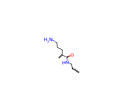 C=CCNC(=O)C(=C)CCCN